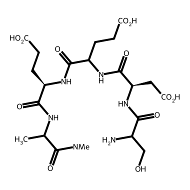 CNC(=O)C(C)NC(=O)[C@@H](CCC(=O)O)NC(=O)C(CCC(=O)O)NC(=O)[C@@H](CC(=O)O)NC(=O)C(N)CO